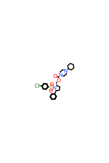 O=C(OC[C@H]1CCC(c2ccccc2)N1S(=O)(=O)c1ccc(Cl)cc1)N1CCN(C2CCCCC2)CC1